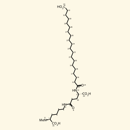 CN[C@@H](CCCCNC(=O)CC[C@H](NC(=O)CCCCCCCCCCCCCCCCCCC(=O)O)C(=O)O)C(=O)O